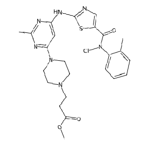 COC(=O)CCN1CCN(c2cc(Nc3ncc(C(=O)N(Cl)c4ccccc4C)s3)nc(C)n2)CC1